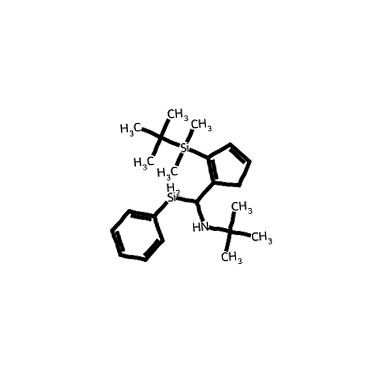 CC(C)(C)NC([SiH2]c1ccccc1)C1=C([Si](C)(C)C(C)(C)C)C=CC1